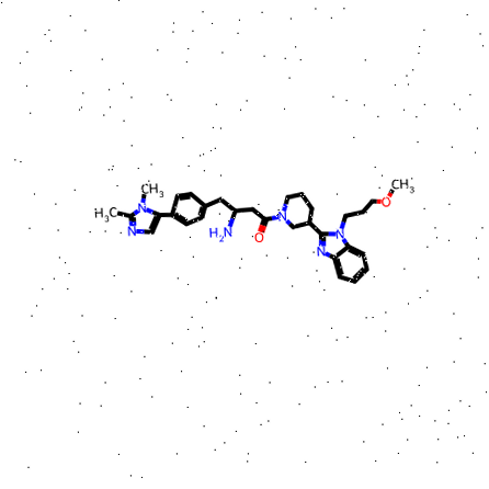 COCCCn1c(C2CCCN(C(=O)CC(N)Cc3ccc(-c4cnc(C)n4C)cc3)C2)nc2ccccc21